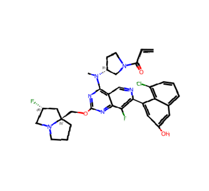 C=CC(=O)N1CC[C@@H](N(C)c2nc(OC[C@@]34CCCN3C[C@H](F)C4)nc3c(F)c(-c4cc(O)cc5cccc(Cl)c45)ncc23)C1